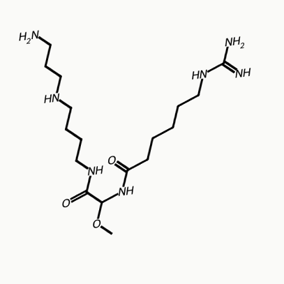 COC(NC(=O)CCCCCNC(=N)N)C(=O)NCCCCNCCCN